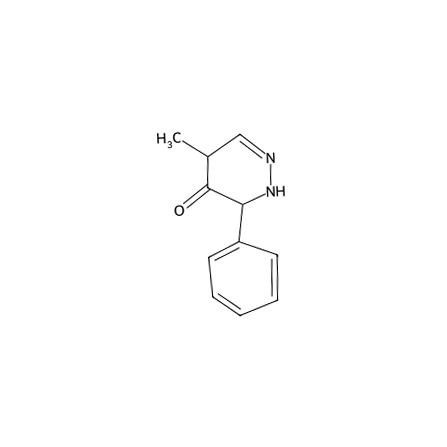 CC1C=NNC(c2ccccc2)C1=O